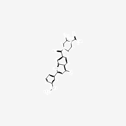 CNc1cccc(-c2cc(Cl)c3ccc(C(=O)N4CCN(C(=O)O)C(C)C4)cc3n2)c1